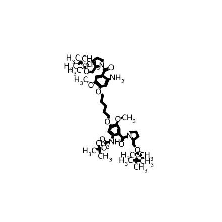 COc1cc(C(=O)N2CCCC2CO[Si](C)(C)C(C)(C)C)c(N)cc1OCCCCCOc1cc(NC(=O)OC(C)(C)C)c(C(=O)N2CCCC2CO[Si](C)(C)C(C)(C)C)cc1OC